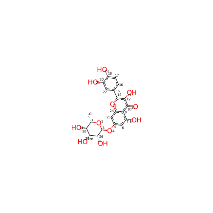 C[C@@H]1O[C@@H](Oc2cc(O)c3c(=O)c(O)c(-c4ccc(O)c(O)c4)oc3c2)[C@H](O)[C@H](O)[C@H]1O